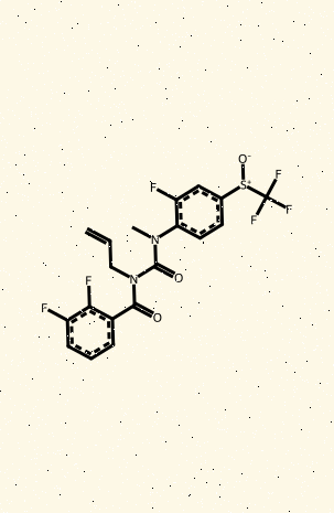 C=CCN(C(=O)c1cccc(F)c1F)C(=O)N(C)c1ccc([S+]([O-])C(F)(F)F)cc1F